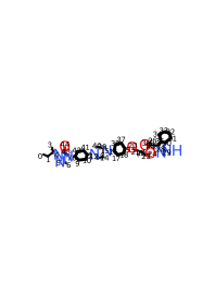 CCC(C)n1ncn(-c2ccc(N3CCN(c4ccc(OC[C@@H]5CO[C@@](C)(c6n[nH]c7ccccc67)O5)cc4)CC3)cc2)c1=O